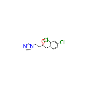 O=C(CCn1ccnc1)Cc1ccc(Cl)cc1Cl